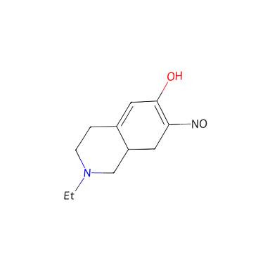 CCN1CCC2=CC(O)=C(N=O)CC2C1